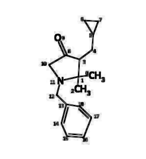 CC1(C)C(CC2CC2)C(=O)CN1Cc1ccccc1